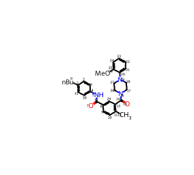 CCCCc1ccc(NC(=O)c2ccc(C)c(C(=O)N3CCN(c4ccccc4OC)CC3)c2)cc1